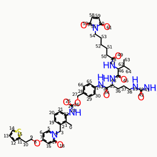 Cc1c(Cn2ccc(OCCc3cccs3)cc2=O)cccc1NC(=O)OCc1ccc(NC(=O)[C@H](CCCNC(N)=O)NC(=O)C(NC(=O)CCCCCN2C(=O)C=CC2=O)C(C)C)cc1